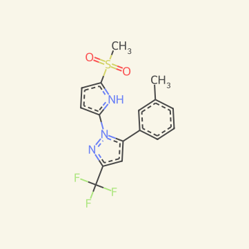 Cc1cccc(-c2cc(C(F)(F)F)nn2-c2ccc(S(C)(=O)=O)[nH]2)c1